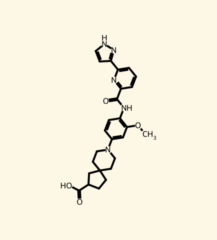 COc1cc(N2CCC3(CCC(C(=O)O)C3)CC2)ccc1NC(=O)c1cccc(-c2cc[nH]n2)n1